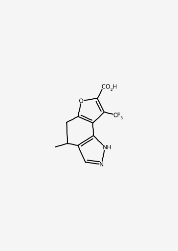 CC1Cc2oc(C(=O)O)c(C(F)(F)F)c2-c2[nH]ncc21